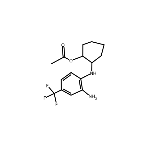 CC(=O)OC1CCCCC1Nc1ccc(C(F)(F)F)cc1N